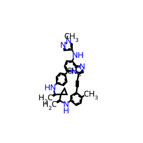 C=C(Nc1ccc(C)cc1)C1(C(=C)Nc2ccc(C)c(C#Cc3cnc4c(Nc5cnn(C)c5)cccn34)c2)CC1